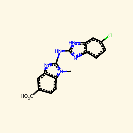 Cn1c(Nc2nc3ccc(Cl)cc3[nH]2)nc2cc(C(=O)O)ccc21